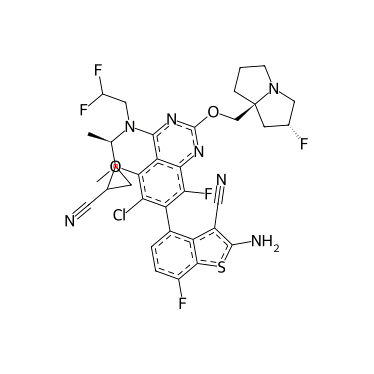 COc1c(Cl)c(-c2ccc(F)c3sc(N)c(C#N)c23)c(F)c2nc(OC[C@@]34CCCN3C[C@H](F)C4)nc(N(CC(F)F)[C@H](C)C3CC3C#N)c12